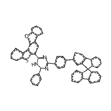 c1ccc(C2N=C(c3ccc(-c4ccc5c(c4)C4(c6ccccc6-c6ccccc64)c4ccccc4-5)cc3)N=C(c3cc4c5ccccc5oc4c4c3sc3ccccc34)N2)cc1